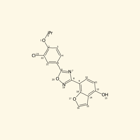 CC(C)Oc1ccc(-c2nc(-c3ccc(O)c4ccoc34)no2)cc1Cl